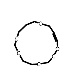 C1=C\OCCCCCCCCCCCCC/1